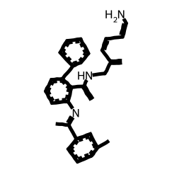 C=C(/C=C\C=C/N)CNC(=C)c1c(/N=C(\C)c2cccc(C)c2)cccc1-c1ccccc1